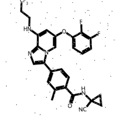 Cc1cc(-c2cnc3c(NCCC(F)(F)F)cc(Oc4cccc(F)c4F)cn23)ccc1C(=O)NC1(C#N)CC1